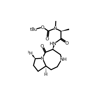 [3H][C@@H]1CC[C@@H]2CCNC[C@H](NC(=O)[C@H](C)N(C)C(=O)OC(C)(C)C)C(=O)N21